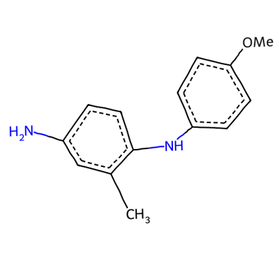 COc1ccc(Nc2ccc(N)cc2C)cc1